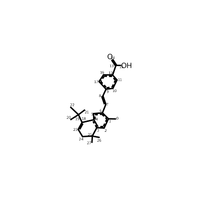 Cc1cc2c(cc1C=Cc1ccc(C(=O)O)cc1)C(C(C)(C)C)=CCC2(C)C